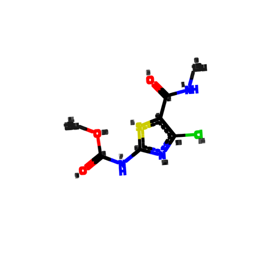 CC(C)(C)NC(=O)c1sc(NC(=O)OC(C)(C)C)nc1Cl